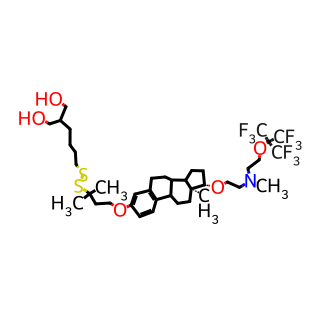 CN(CCO[C@H]1CCC2C3CCc4cc(OCCC(C)(C)SSCCCCC(CO)CO)ccc4C3CC[C@@]21C)CCOC(C(F)(F)F)(C(F)(F)F)C(F)(F)F